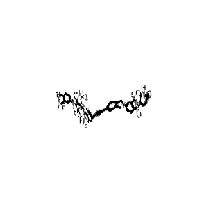 CC(C)(C(=O)Nc1ccc(C#N)c(C(F)(F)F)c1)n1cc(C#CC2CC3CN(c4ccc5c(c4)C(=O)N(C4CCC(=O)NC4=O)C5=O)CC3C2)cn1